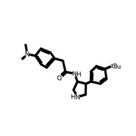 CN(C)c1ccc(CC(=O)NC2CNCC2c2ccc(C(C)(C)C)cc2)cc1